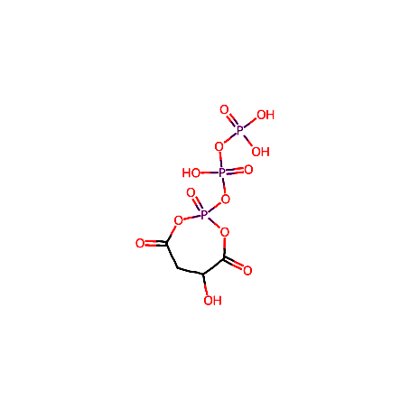 O=C1CC(O)C(=O)OP(=O)(OP(=O)(O)OP(=O)(O)O)O1